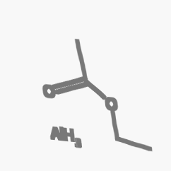 CCOC(C)=O.[AlH3]